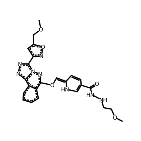 COCCNNC(=O)C1=CNC(=COc2nn3c(-c4cc(COC)on4)nnc3c3ccccc23)C=C1